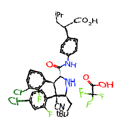 CC(C)CC(C(=O)O)c1ccc(NC(=O)[C@@H]2N[C@@H](CC(C)(C)C)[C@](C#N)(c3ccc(Cl)cc3F)[C@H]2c2cccc(Cl)c2F)cc1.O=C(O)C(F)(F)F